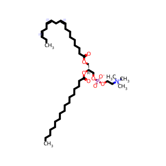 CC/C=C\C/C=C\C/C=C\CCCCCCCC(=O)OC[C@H](COP(=O)([O-])OCC[N+](C)(C)C)OC(=O)CCCCCCCCCCCCCCCC